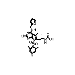 Cc1cc(C)c(S(=O)(=O)n2c(C[C@H](C)NC(=O)O)c(C)c3c(NCc4ccco4)nc(Cl)nc32)c(C)c1